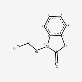 O=C1Cc2ccccc2N1CCF